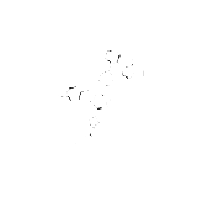 CC(C)(C)OC(=O)N1CC(C(=O)N[C@H](Cc2ccc(Cl)cc2)C(=O)N2CCC(c3ccccc3-n3cc[nH]c3=O)CC2)C1